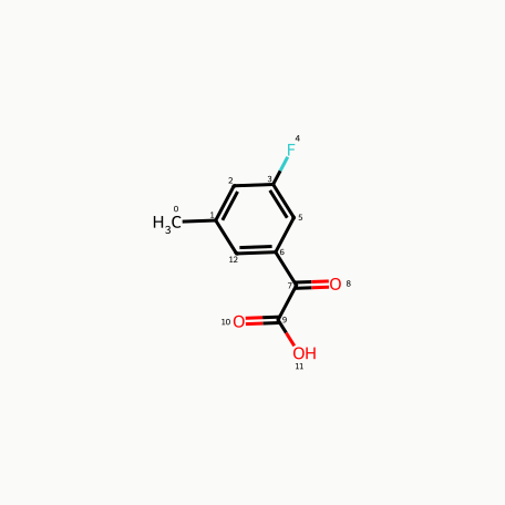 Cc1cc(F)cc(C(=O)C(=O)O)c1